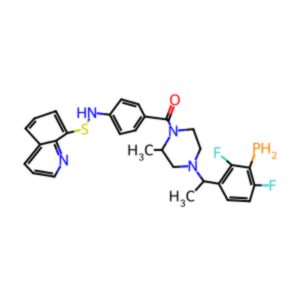 CC(c1ccc(F)c(P)c1F)N1CCN(C(=O)c2ccc(NSc3cccc4cccnc34)cc2)C(C)C1